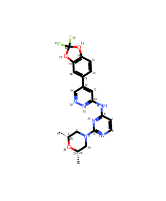 C[C@@H]1CN(c2nccc(Nc3cc(-c4ccc5c(c4)OC(F)(F)O5)cnn3)n2)C[C@H](C)O1